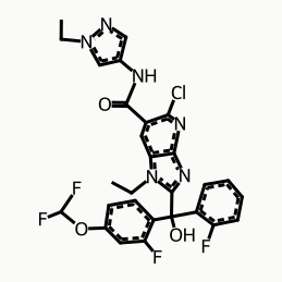 CCn1cc(NC(=O)c2cc3c(nc2Cl)nc(C(O)(c2ccccc2F)c2ccc(OC(F)F)cc2F)n3CC)cn1